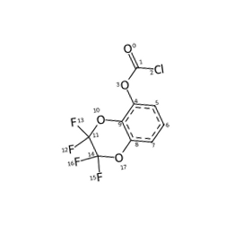 O=C(Cl)Oc1cccc2c1OC(F)(F)C(F)(F)O2